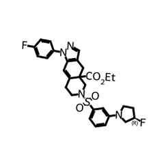 CCOC(=O)C12Cc3cnn(-c4ccc(F)cc4)c3C=C1CCN(S(=O)(=O)c1cccc(N3CC[C@@H](F)C3)c1)C2